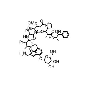 CCC(C)[C@@H]([C@@H](CC(=O)N1CCC[C@H]1[C@H](OC)[C@@H](C)C(=O)N[C@H](C)[C@@H](O)c1ccccc1)OC)N(C)C(=O)[C@@H](NC(=O)[C@H](C(C)C)N(C)C(=O)OCc1ccc(O[C@H]2C[C@@H](O)[C@@H](O)[C@@H](CO)O2)c2cc(CN)oc12)C(C)C